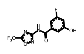 O=C(Nc1noc(C(F)(F)F)n1)c1cc(O)cc(F)c1